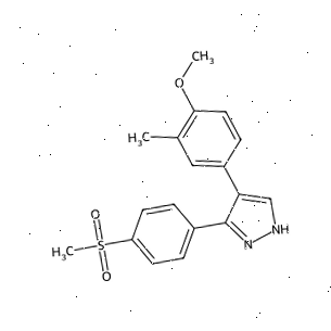 COc1ccc(-c2c[nH]nc2-c2ccc(S(C)(=O)=O)cc2)cc1C